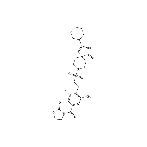 Cc1cc(C(=O)N2CCOC2=O)cc(C)c1CCS(=O)(=O)N1CCC2(CC1)N=C(C1CCCCC1)NC2=O